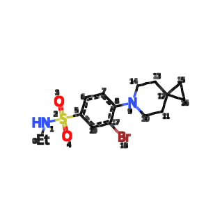 CCNS(=O)(=O)c1ccc(N2CCC3(CC2)CC3)c(Br)c1